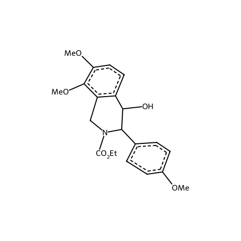 CCOC(=O)N1Cc2c(ccc(OC)c2OC)C(O)C1c1ccc(OC)cc1